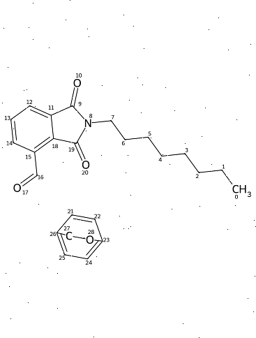 CCCCCCCCN1C(=O)c2cccc(C=O)c2C1=O.c1cc2ccc1CO2